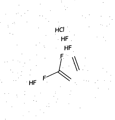 C=C.C=C(F)F.Cl.F.F.F